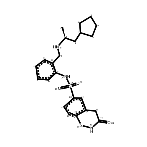 C[C@@H](CC1CCCC1)NCc1ccccc1NS(=O)(=O)c1ccc2c(c1)CC(=O)NS2